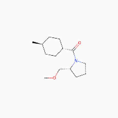 COC[C@H]1CCCN1C(=O)[C@H]1CC[C@H](C)CC1